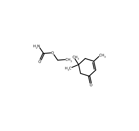 CC1=CC(=O)CC(C)(C)C1.CCOC(N)=O